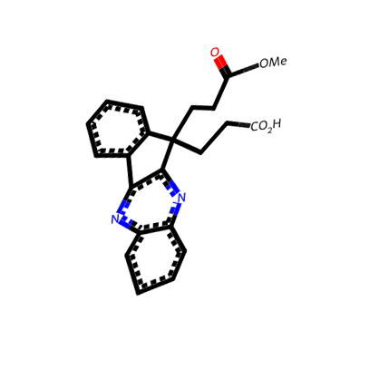 COC(=O)CCC1(CCC(=O)O)c2ccccc2-c2nc3ccccc3nc21